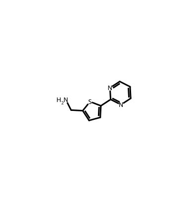 NCc1ccc(-c2ncccn2)s1